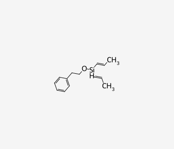 CC=C[SiH](C=CC)OCCc1ccccc1